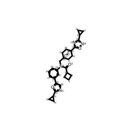 O=C(C1CCC1)N(CC12CCC(c3nc(C4CC4)no3)(CC1)CC2)c1cccc(-c2cnc(C3CC3)o2)c1